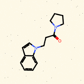 O=C(CCn1ccc2ccccc21)N1CCCC1